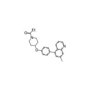 CCC(=O)N1CCC(Oc2ccc(-c3cc(C)cc4ncccc34)cc2)CC1